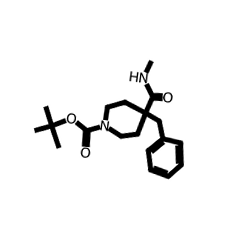 CNC(=O)C1(Cc2ccccc2)CCN(C(=O)OC(C)(C)C)CC1